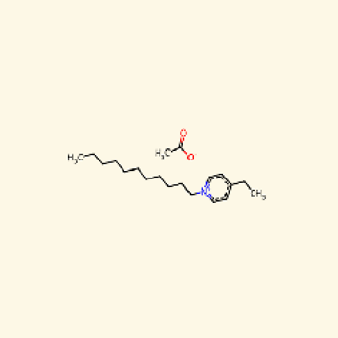 CC(=O)[O-].CCCCCCCCCCC[n+]1ccc(CC)cc1